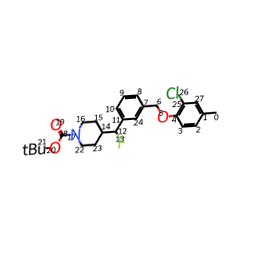 Cc1ccc(OCc2cccc(C(F)C3CCN(C(=O)OC(C)(C)C)CC3)c2)c(Cl)c1